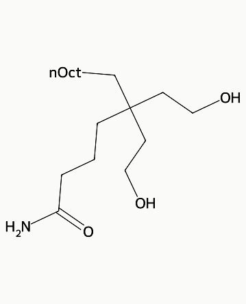 CCCCCCCCCC(CCO)(CCO)CCCC(N)=O